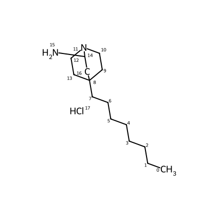 CCCCCCCCC12CCN(CC1)C(N)C2.Cl